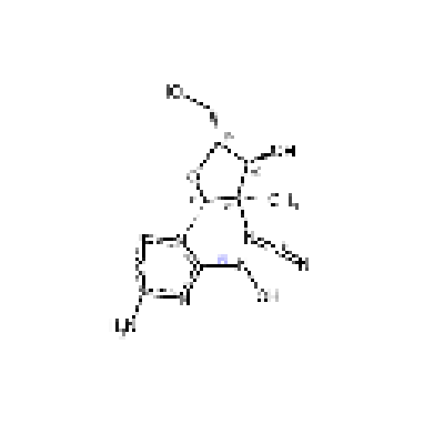 C[C@@]1(N=[N+]=[N-])[C@H](O)[C@@H](CO)O[C@H]1n1ccc(N)n/c1=N\O